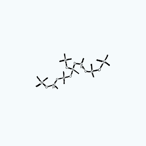 C[SiH](O[Si](C)(C)C)O[Si](C)(C)O[Si](C)(O[SiH](C)O[Si](C)(C)O[Si](C)(C)C)O[Si](C)(C)C